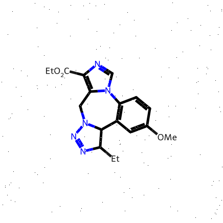 CCOC(=O)c1ncn2c1CN1N=NC(CC)C1c1cc(OC)ccc1-2